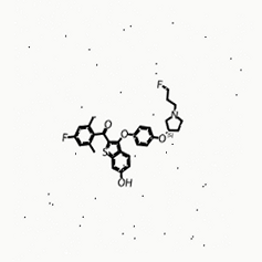 Cc1cc(F)cc(C)c1C(=O)c1sc2cc(O)ccc2c1Oc1ccc(O[C@H]2CCN(CCCF)C2)cc1